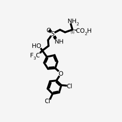 N=S(=O)(CC[C@H](N)C(=O)O)CCC(O)(c1ccc(Oc2ccc(Cl)cc2Cl)cc1)C(F)(F)F